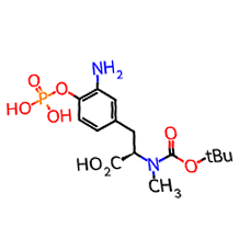 CN(C(=O)OC(C)(C)C)[C@H](Cc1ccc(OP(=O)(O)O)c(N)c1)C(=O)O